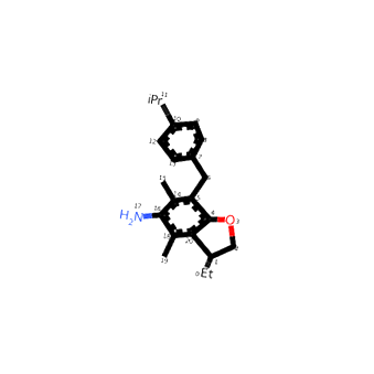 CCC1COc2c(Cc3ccc(C(C)C)cc3)c(C)c(N)c(C)c21